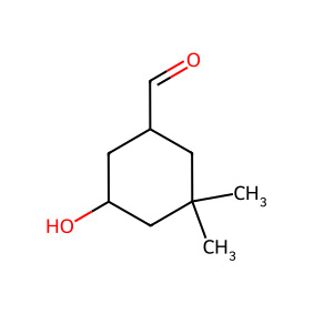 CC1(C)CC(O)CC(C=O)C1